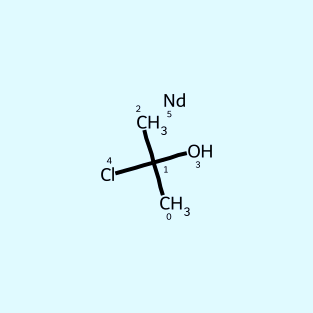 CC(C)(O)Cl.[Nd]